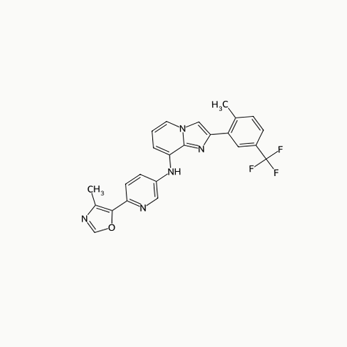 Cc1ccc(C(F)(F)F)cc1-c1cn2cccc(Nc3ccc(-c4ocnc4C)nc3)c2n1